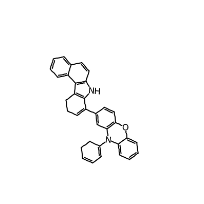 C1=CCCC(N2c3ccccc3Oc3ccc(C4=CCCc5c4[nH]c4ccc6ccccc6c54)cc32)=C1